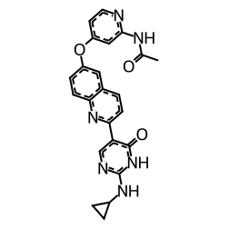 CC(=O)Nc1cc(Oc2ccc3nc(-c4cnc(NC5CC5)[nH]c4=O)ccc3c2)ccn1